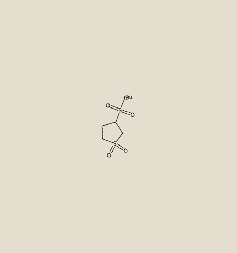 CC(C)(C)S(=O)(=O)C1CCS(=O)(=O)C1